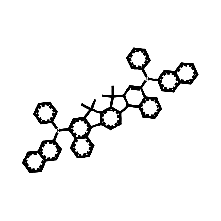 CC1(C)c2cc(N(c3ccccc3)c3ccc4ccccc4c3)c3ccccc3c2-c2ccc3c(c21)C(C)(C)C1C=C(N(c2ccccc2)c2ccc4ccccc4c2)c2ccccc2C31